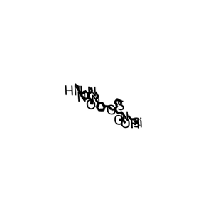 CCNc1cc2c(cn1)C(=O)N(c1cccc(COC(CCN(CCC[Si](C)(C)C)C(=O)O)c3cccs3)c1)CCN2C